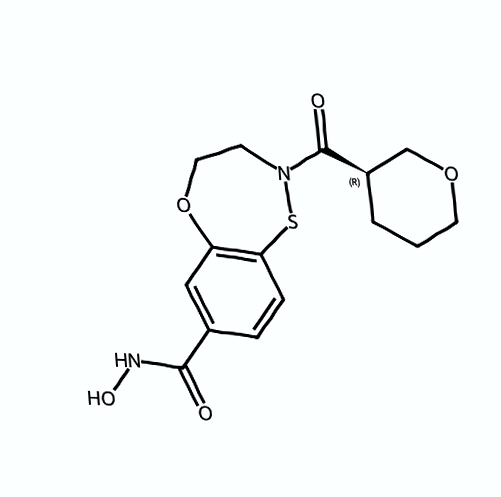 O=C(NO)c1ccc2c(c1)OCCN(C(=O)[C@@H]1CCCOC1)S2